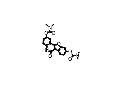 CN(C)C(=O)Oc1ccc2c(c1)oc1c3cc(OC(=O)N(C)C)ccc3[nH]c(=O)c21